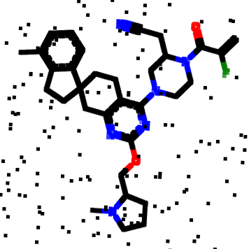 C=C(F)C(=O)N1CCN(c2nc(OCC3CCCN3C)nc3c2CCC2(CCc4c(C)cccc42)C3)CC1CC#N